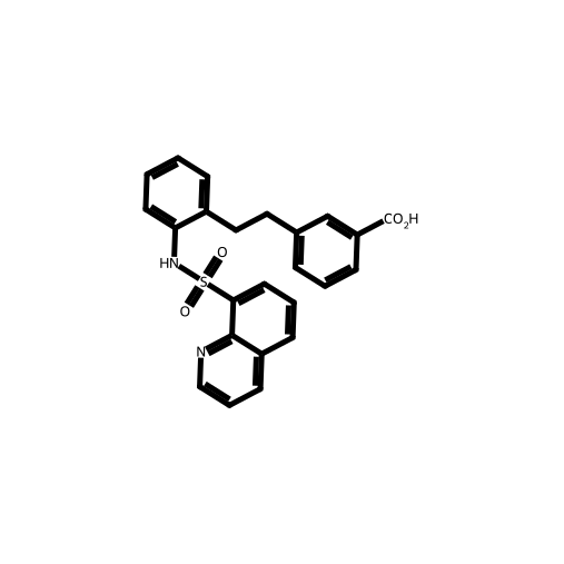 O=C(O)c1cccc(CCc2ccccc2NS(=O)(=O)c2cccc3cccnc23)c1